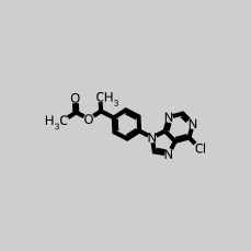 CC(=O)OC(C)c1ccc(-n2cnc3c(Cl)ncnc32)cc1